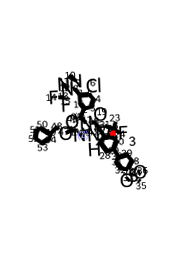 [CH2][C@@H](c1ccc(Cl)c(-c2ncnn2C(F)F)c1)N1C(=O)[C@@](CC(C)(C)C(F)(F)F)(c2ccc(-c3ccc(S(C)(=O)=O)cc3)cc2)N/C1=N/C(=O)OCc1ccccc1